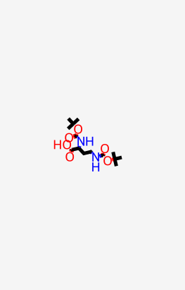 CC(C)(C)OC(=O)NCCC(NC(=O)OC(C)(C)C)C(=O)O